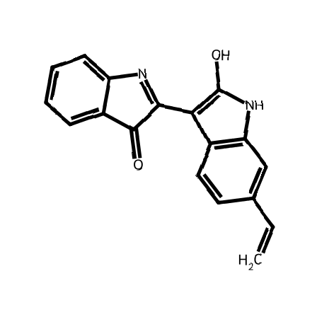 C=Cc1ccc2c(C3=Nc4ccccc4C3=O)c(O)[nH]c2c1